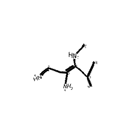 CN/C(=C(/N)C=N)C(C)C